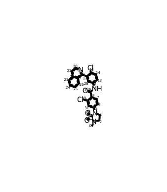 CN1CCN(c2ccc(C(=O)Nc3ccc(Cl)c(-c4nccc5ccccc45)c3)c(Cl)c2)S1(=O)=O